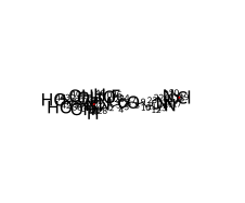 O=C(Cc1ccc(OCCCC2CCN(c3ncc(Cl)cn3)CC2)cc1F)N1C[C@H]2C[C@@H]1CN2C[C@H](O)[C@@H](O)[C@H](O)[C@H](O)CO